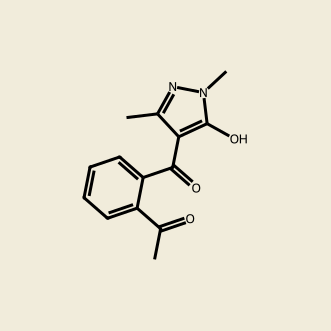 CC(=O)c1ccccc1C(=O)c1c(C)nn(C)c1O